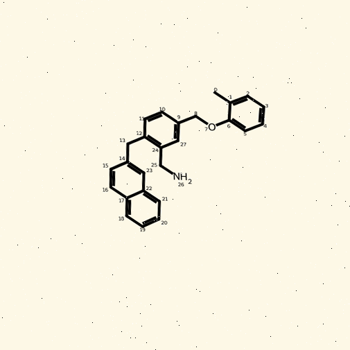 Cc1ccccc1OCc1ccc(Cc2ccc3ccccc3c2)c(CN)c1